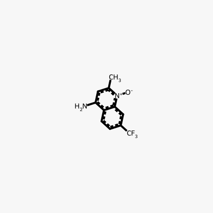 Cc1cc(N)c2ccc(C(F)(F)F)cc2[n+]1[O-]